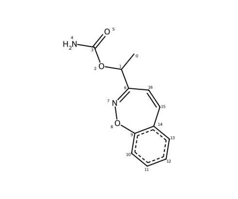 CC(OC(N)=O)C1=NOc2ccccc2C=C1